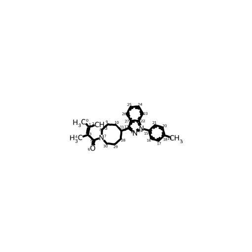 CC(C)=C(C)C(=O)N1CCCC(c2nn(-c3ccc(C)cc3)c3ccccc23)CCC1